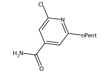 CCCCCc1cc(C(N)=O)cc(Cl)n1